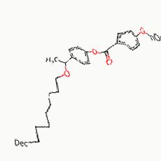 CCCCCCCCCCCCCCCCCCOC(C)c1ccc(OC(=O)c2ccc(OCCCCCCCC)cc2)cc1